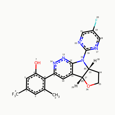 Cc1cc(C(F)(F)F)cc(O)c1-c1cc2c(nn1)N(c1ncc(F)cn1)[C@@H]1CCO[C@H]21